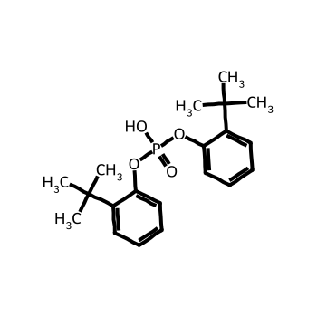 CC(C)(C)c1ccccc1OP(=O)(O)Oc1ccccc1C(C)(C)C